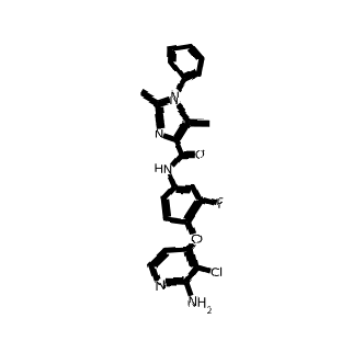 Cc1nc(C(=O)Nc2ccc(Oc3ccnc(N)c3Cl)c(F)c2)c(C)n1-c1ccccc1